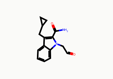 NC(=O)c1c(CC2CC2)c2ccccc2n1CC=O